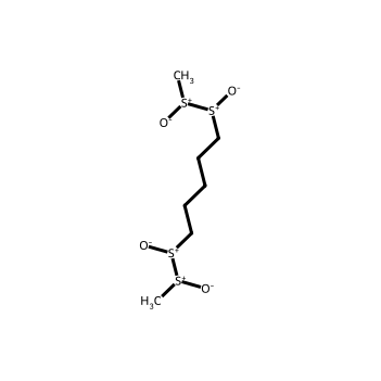 C[S+]([O-])[S+]([O-])CCCCC[S+]([O-])[S+](C)[O-]